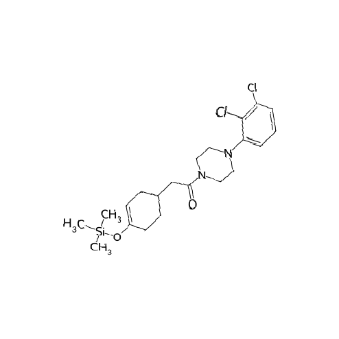 C[Si](C)(C)OC1=CCC(CC(=O)N2CCN(c3cccc(Cl)c3Cl)CC2)CC1